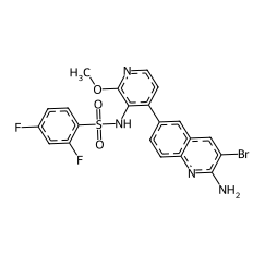 COc1nccc(-c2ccc3nc(N)c(Br)cc3c2)c1NS(=O)(=O)c1ccc(F)cc1F